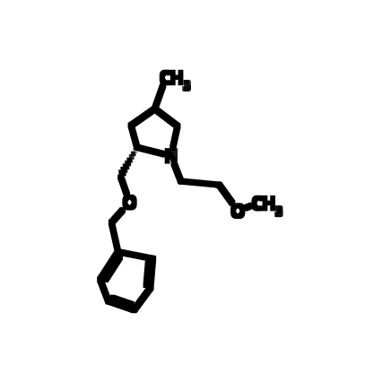 COCCN1CC(C)C[C@H]1COCc1ccccc1